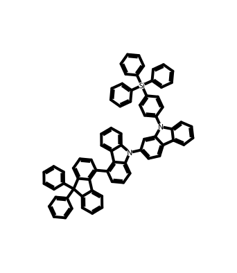 c1ccc(C2(c3ccccc3)c3ccccc3-c3c(-c4cccc5c4c4ccccc4n5-c4ccc5c6ccccc6n(-c6ccc([Si](c7ccccc7)(c7ccccc7)c7ccccc7)cc6)c5c4)cccc32)cc1